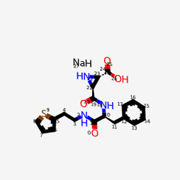 O=C(NCCc1cccs1)[C@H](Cc1ccccc1)NC(=O)[C@H]1N[C@@H]1C(=O)O.[NaH]